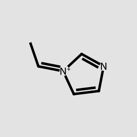 CC=[N+]1C=CN=C1